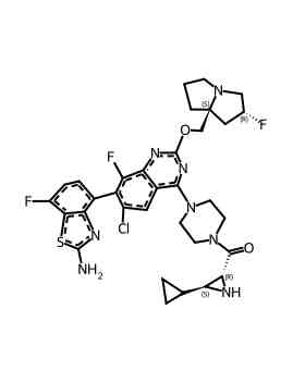 Nc1nc2c(-c3c(Cl)cc4c(N5CCN(C(=O)[C@@H]6N[C@H]6C6CC6)CC5)nc(OC[C@@]56CCCN5C[C@H](F)C6)nc4c3F)ccc(F)c2s1